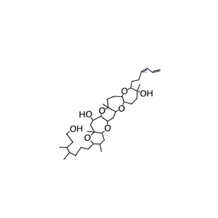 C=C/C=C\CCC1OC2CCC3(C)OC4C(O)CC5(C)OC(CCCC(C)C(C)CCO)C(C)CC5OC4CC3OC2CCC1(C)O